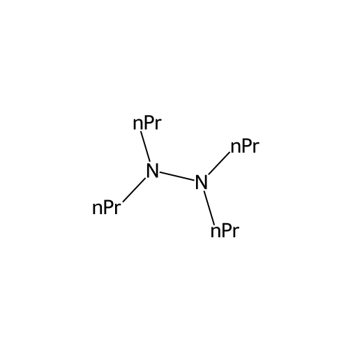 CCCN(CCC)N(CCC)CCC